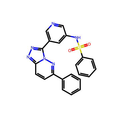 O=S(=O)(Nc1cncc(-c2nnc3ccc(-c4ccccc4)nn23)c1)c1ccccc1